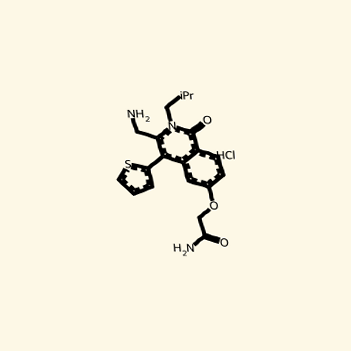 CC(C)Cn1c(CN)c(-c2cccs2)c2cc(OCC(N)=O)ccc2c1=O.Cl